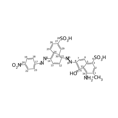 Cc1cc(S(=O)(=O)O)c2ccc(N=Nc3ccc(N=Nc4ccc([N+](=O)[O-])cc4)c4ccc(S(=O)(=O)O)cc34)c(O)c2c1N